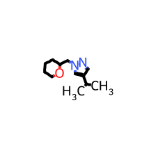 CC(C)c1cnn(CC2CCCCO2)c1